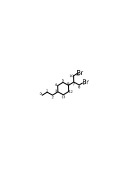 CCCC1CCC(C(CBr)CBr)CC1